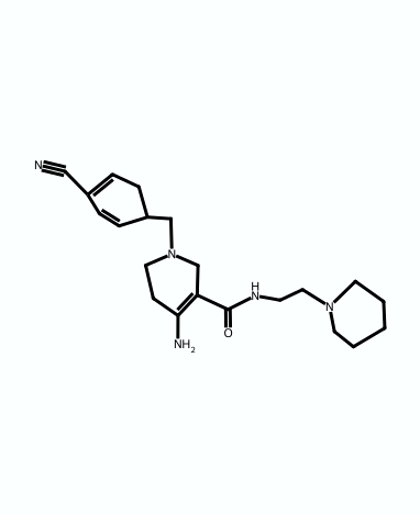 N#CC1=CCC(CN2CCC(N)=C(C(=O)NCCN3CCCCC3)C2)C=C1